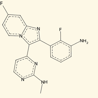 CNc1nccc(-c2c(-c3cccc(N)c3F)nc3cc(F)ccn23)n1